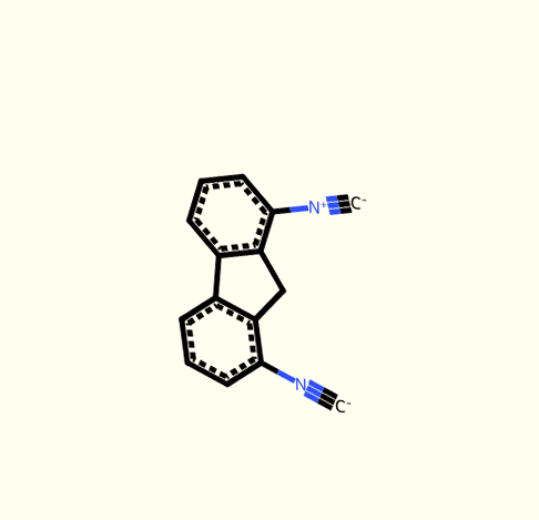 [C-]#[N+]c1cccc2c1Cc1c([N+]#[C-])cccc1-2